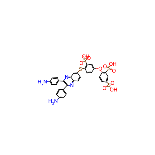 Nc1ccc(-c2nc3ccc(Sc4ccc(Oc5ccc(S(=O)(=O)O)cc5S(=O)(=O)O)cc4S(=O)(=O)O)cc3nc2-c2ccc(N)cc2)cc1